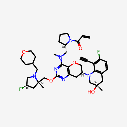 C#Cc1c(F)ccc2c1N([C@@H]1COc3c(nc(OC[C@]4(C)C[C@@H](F)CN4CC4CCOCC4)nc3N(C)C[C@@H]3CCCN3C(=O)C=C)C1)C[C@@](C)(O)C2